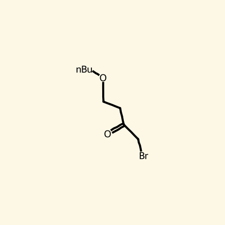 CCCCOCCC(=O)CBr